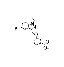 COC(=O)c1cccc(OCc2nn(C(C)C)c3ccc(Br)cc23)c1